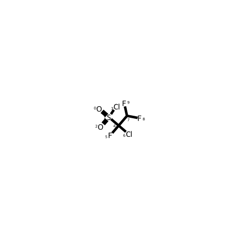 O=S(=O)(Cl)C(F)(Cl)C(F)F